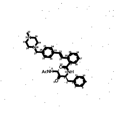 CC(=O)NCC(=O)[C@H](Cc1ccccc1)NC(=O)c1ccccc1C=Cc1ccc(CN2CCN(C)CC2)cc1